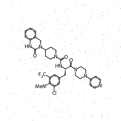 CNc1c(Cl)cc(C[C@@H](NC(=O)N2CCC(N3Cc4ccccc4NC3=O)CC2)C(=O)N2CCN(c3ccncc3)CC2)cc1C(F)(F)F